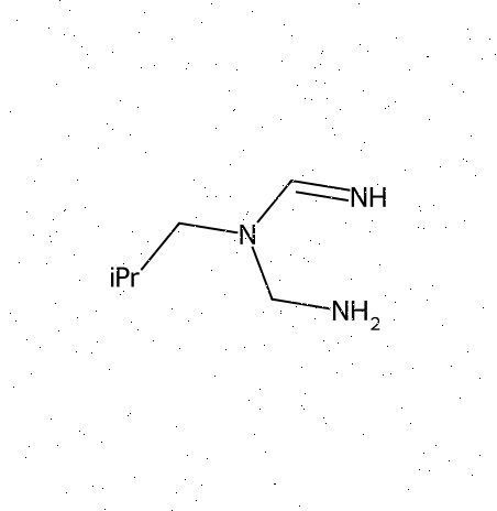 CC(C)CN(C=N)CN